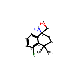 BC1(B)CC[C@@](N)(CO)c2cccc(F)c21